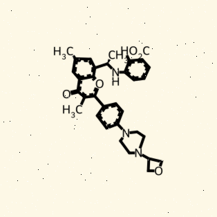 Cc1cc([C@@H](C)Nc2ccccc2C(=O)O)c2oc(-c3ccc(N4CCN(C5COC5)CC4)cc3)c(C)c(=O)c2c1